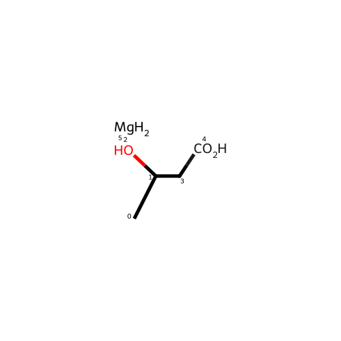 CC(O)CC(=O)O.[MgH2]